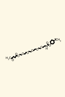 CSC1CCC(OC(=O)NCCOCCOCCOCCOCCOCCOC(=O)CCC(C)=O)CC1